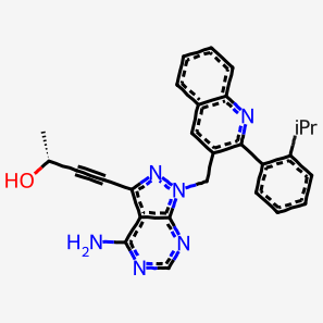 CC(C)c1ccccc1-c1nc2ccccc2cc1Cn1nc(C#C[C@@H](C)O)c2c(N)ncnc21